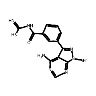 CC(C)n1nc(-c2cccc(C(=O)NC(=N)S)c2)c2c(N)ncnc21